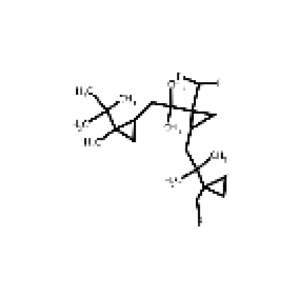 CC(C)(C)C1(C)CC1CC(C)(C)C1(C(F)F)CC1CC(C)(C)C1(CF)CC1